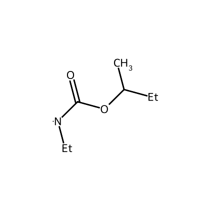 CC[N]C(=O)OC(C)CC